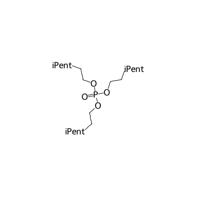 CCCC(C)CCOP(=O)(OCCC(C)CCC)OCCC(C)CCC